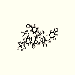 CC(C)(C)OC(=O)NC(CO[Si](C)(C)C(C)(C)C)C(=O)OCN1C(=O)N(Cc2ccc(Cl)cc2)SC1NC(=O)c1ccc(Cl)cc1